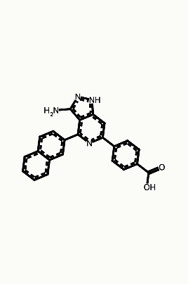 Nc1n[nH]c2cc(-c3ccc(C(=O)O)cc3)nc(-c3ccc4ccccc4c3)c12